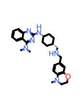 CN(C)c1nc(N[C@H]2CC[C@@H](CNCc3ccc4c(c3)OCCN4C)CC2)nc2ccccc12